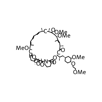 COCCO[C@@H]1CC[C@@H](C[C@@H](C)[C@@H]2CC(=O)[C@H](C)/C=C(\C)[C@@H](OC)[C@@H](OC)C(=O)[C@H](C)C[C@H](C)/C=C/C=C/C=C(\C)[C@@H](OC)C[C@@H]3CC[C@@H](C)[C@@](O)(O3)C(=O)C(=O)N3CCCC[C@H]3C(=O)O2)C[C@H]1OC